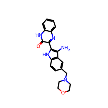 Nc1c(-c2nc3ccccc3[nH]c2=O)[nH]c2ccc(CN3CCOCC3)cc12